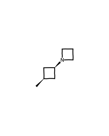 C[C@H]1C[C@@H](N2CCC2)C1